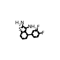 Nc1sc2cccc(-c3ccc(F)c(F)c3)c2c1N